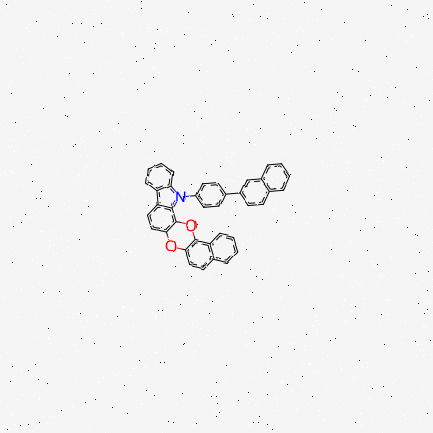 c1ccc2cc(-c3ccc(-n4c5ccccc5c5ccc6c(c54)Oc4c(ccc5ccccc45)O6)cc3)ccc2c1